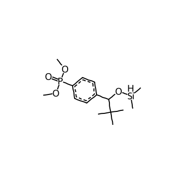 COP(=O)(OC)c1ccc(C(O[SiH](C)C)C(C)(C)C)cc1